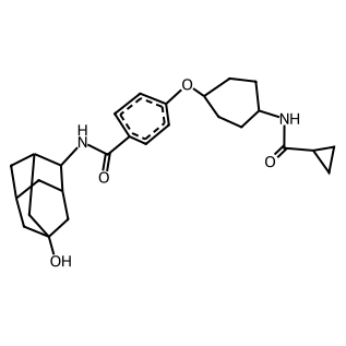 O=C(NC1C2CC3CC1CC(O)(C3)C2)c1ccc(OC2CCC(NC(=O)C3CC3)CC2)cc1